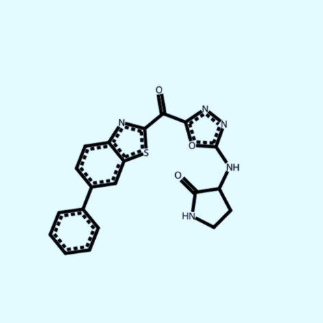 O=C(c1nnc(NC2CCNC2=O)o1)c1nc2ccc(-c3ccccc3)cc2s1